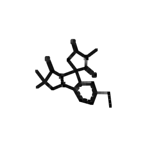 CCc1ccc2c(c1)C1(CC(=O)N(C)C1=O)N1C(=O)C(C)(C)CN21